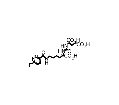 O=C(O)CC[C@H](NC(=O)N[C@@H](CCCCNC(=O)c1ccc(F)nn1)C(=O)O)C(=O)O